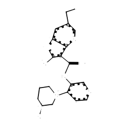 CCc1cnc2c(C(=O)Nc3cnccc3N3CCC[C@H](N)C3)c(N)sc2c1